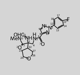 CNC(=O)C(CNC(=O)c1cnn(-c2ccc(F)cc2)n1)(NC=O)C1CCOCC1